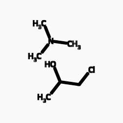 CC(O)CCl.CN(C)C